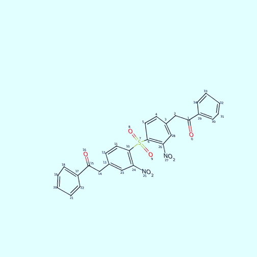 O=C(Cc1ccc(S(=O)(=O)c2ccc(CC(=O)c3ccccc3)cc2[N+](=O)[O-])c([N+](=O)[O-])c1)c1ccccc1